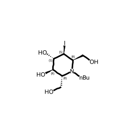 CCCCN1[C@H](CO)[C@@H](O)[C@H](O)[C@@H](I)[C@H]1CO